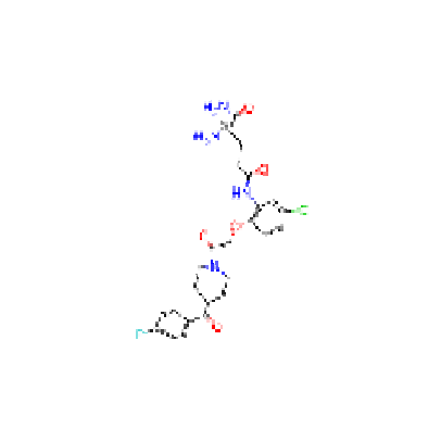 NC(=O)[C@@H](N)CCC(=O)Nc1cc(Cl)ccc1OCC(=O)N1CCC(C(=O)c2ccc(F)cc2)CC1